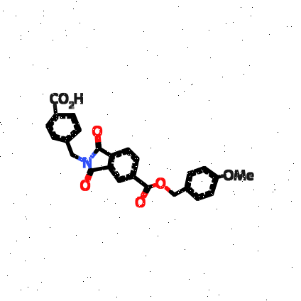 COc1ccc(COC(=O)c2ccc3c(c2)C(=O)N(Cc2ccc(C(=O)O)cc2)C3=O)cc1